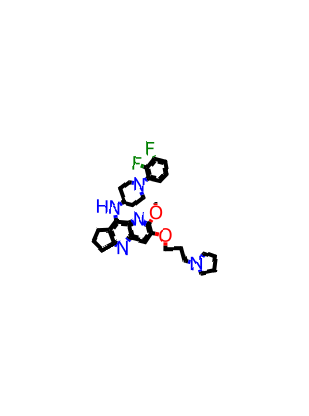 COc1nc2c(NC3CCN(c4cccc(F)c4F)CC3)c3c(nc2cc1OCCCN1CCCC1)CCC3